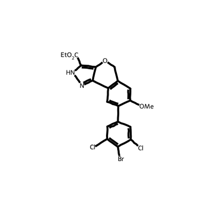 CCOC(=O)c1[nH]nc2c1OCc1cc(OC)c(-c3cc(Cl)c(Br)c(Cl)c3)cc1-2